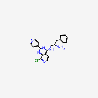 NC(CNc1nc(-c2ccncc2)nc2c(Cl)nccc12)Cc1ccccc1